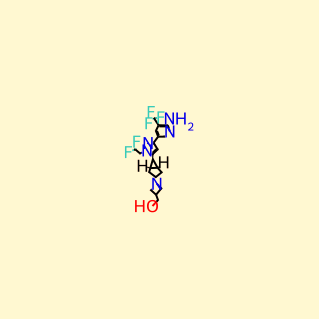 Nc1ncc(-c2cc([C@H]3[C@@H]4C[C@H](N5CC(CO)C5)C[C@@H]43)n(CC(F)F)n2)cc1C(F)(F)F